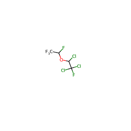 FC(OC(Cl)C(F)(Cl)Cl)C(F)(F)F